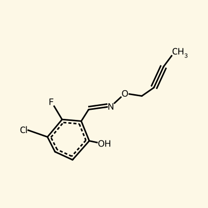 CC#CCON=Cc1c(O)ccc(Cl)c1F